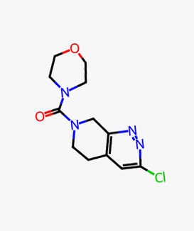 O=C(N1CCOCC1)N1CCc2cc(Cl)nnc2C1